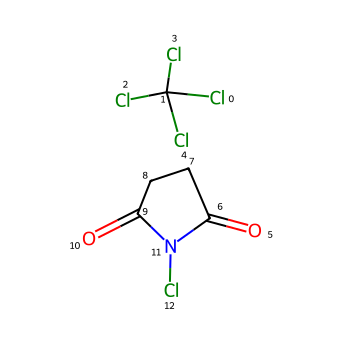 ClC(Cl)(Cl)Cl.O=C1CCC(=O)N1Cl